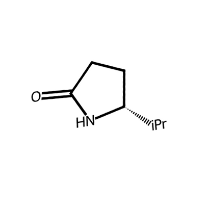 CC(C)[C@H]1CCC(=O)N1